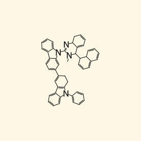 CN1C(n2c3ccccc3c3ccc(C4=Cc5c(n(-c6ccccc6)c6ccccc56)CC4)cc32)=NC2CC=CC=C2C1C1C=CC=C2C=CC=CC21